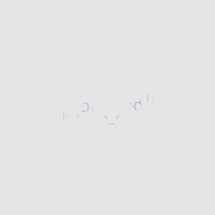 Cc1ccc[n+](CCCC#Cc2ccccc2C#CCCC[n+]2cccc(C)c2)c1